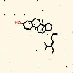 CCC(=CCC(C)[C@H]1CC[C@H]2[C@@H]3CCC4CC(O)C=C[C@]4(C)[C@H]3CC[C@]12C)C(C)C